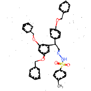 Cc1ccc(S(=O)(=O)NN=CC(c2ccc(OCc3ccccc3)cc2)c2cc(OCc3ccccc3)cc(OCc3ccccc3)c2)cc1